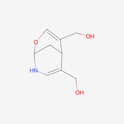 OCC1=CNC2CC1C(CO)=CO2